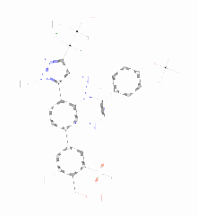 Cn1nc(C(F)(F)C(C)(C)O)cc1-c1ccc(-c2cc(F)c(CO)c(S(C)(=O)=O)c2)cc1N(N)/C(=C\N)c1ccc(OC(F)(F)F)cc1